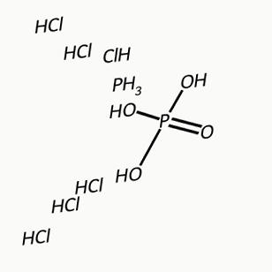 Cl.Cl.Cl.Cl.Cl.Cl.O=P(O)(O)O.P